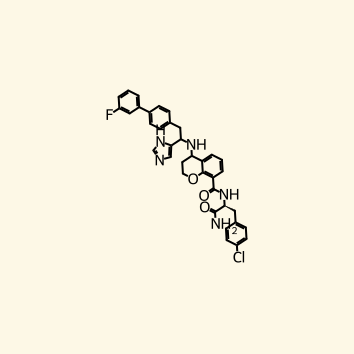 NC(=O)[C@H](Cc1ccc(Cl)cc1)NC(=O)c1cccc2c1OCCC2NC(Cc1ccc(-c2cccc(F)c2)cc1)c1cnc[nH]1